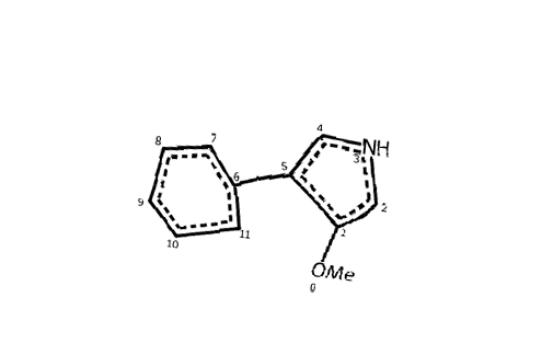 COc1c[nH][c]c1-c1ccccc1